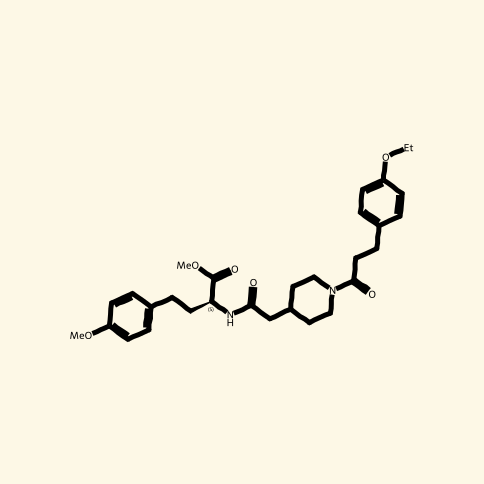 CCOc1ccc(CCC(=O)N2CCC(CC(=O)N[C@@H](CCc3ccc(OC)cc3)C(=O)OC)CC2)cc1